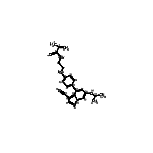 C=C(C)C(=O)NCCNc1ccc(-c2cc(OC(C)C)cn3ncc(C#N)c23)cn1